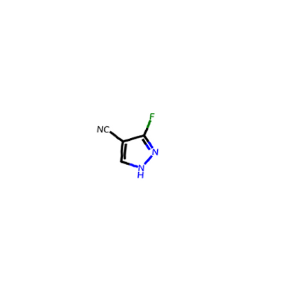 N#Cc1c[nH]nc1F